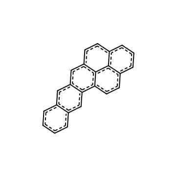 [c]1c2cc3ccccc3cc2c2ccc3cccc4ccc1c2c43